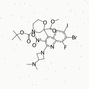 COC(=O)C1(c2c([N+](=O)[O-])c(N3CC(N(C)C)C3)nc3c(F)c(Br)c(I)cc23)CN(C(=O)OC(C)(C)C)CCO1